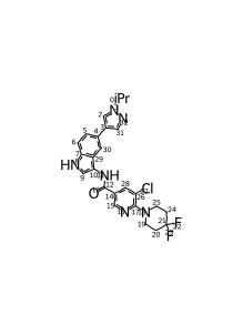 CC(C)n1cc(-c2ccc3[nH]cc(NC(=O)c4cnc(N5CCC(F)(F)CC5)c(Cl)c4)c3c2)cn1